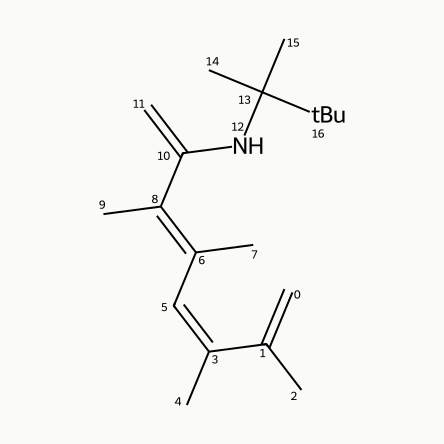 C=C(C)/C(C)=C\C(C)=C(/C)C(=C)NC(C)(C)C(C)(C)C